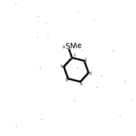 [CH2]SC1CCCCC1